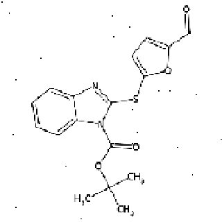 CC(C)(C)OC(=O)n1c(Sc2ccc(C=O)o2)nc2ccccc21